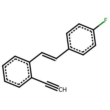 C#Cc1ccccc1C=[C]c1ccc(F)cc1